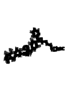 CCCCCCCCCCCCCCON(c1ccccc1)c1ccc(CC(=O)Nc2cccc(CC3SC=CN3C)c2)cc1